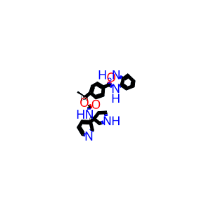 C[C@H](OC(=O)N[C@@]1(c2cccnc2)CCNC1)c1ccc(C(=O)Nc2ccccc2N)cc1